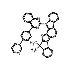 CC1(C)c2ccccc2-c2c1sc1c2ccc2c3ccccc3n(-c3nc(-c4ccc(-c5cccnc5)cc4)c4ccccc4n3)c21